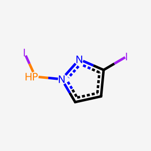 IPn1ccc(I)n1